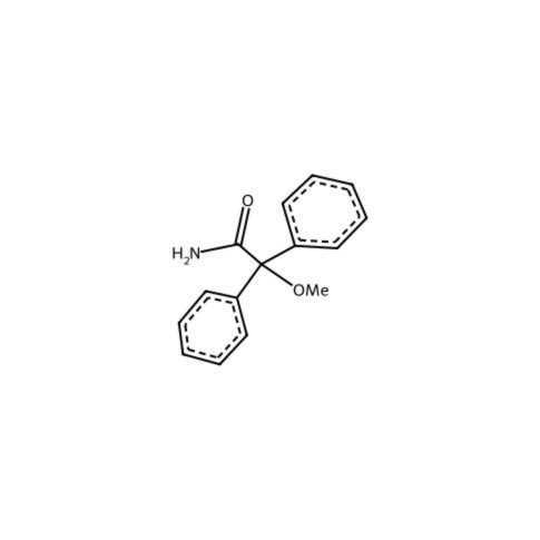 COC(C(N)=O)(c1ccccc1)c1ccccc1